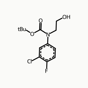 CC(C)(C)OC(=O)N(CCO)c1ccc(F)c(Cl)c1